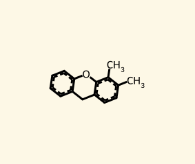 Cc1ccc2c(c1C)Oc1ccccc1C2